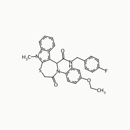 CCOc1ccc(N2C(=O)CSc3c(c4ccccc4n3C)C2C(=O)NCc2ccc(F)cc2)cc1